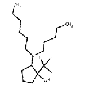 CCCCCCN(CCCCC)C1CCCC1(O)C(F)(F)F